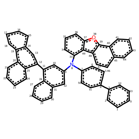 c1ccc(-c2ccc(N(c3cc(-c4cc5ccccc5c5ccccc45)c4ccccc4c3)c3cccc4oc5c6ccccc6ccc5c34)cc2)cc1